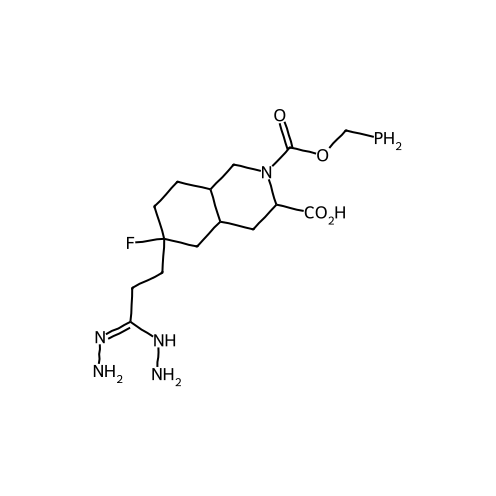 N/N=C(/CCC1(F)CCC2CN(C(=O)OCP)C(C(=O)O)CC2C1)NN